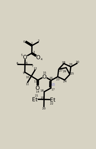 C=C(C)C(=O)OC(C)(C)CC(C)(C)C(=O)O/C(=C\CC(C)(CC)CC)C1CC2CC1CC2C